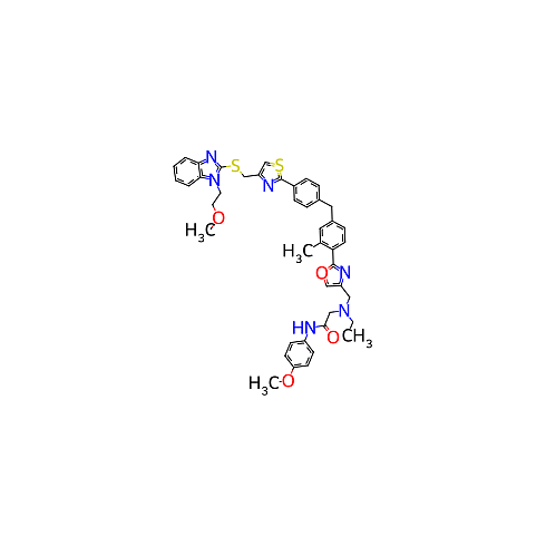 CCN(CC(=O)Nc1ccc(OC)cc1)Cc1coc(-c2ccc(Cc3ccc(-c4nc(CSc5nc6ccccc6n5CCOC)cs4)cc3)cc2C)n1